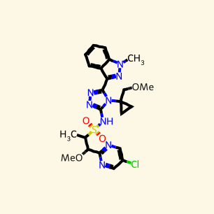 COCC1(n2c(NS(=O)(=O)C(C)C(OC)c3ncc(Cl)cn3)nnc2-c2nn(C)c3ccccc23)CC1